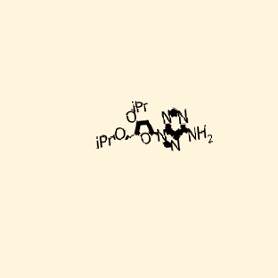 CC(C)OC[C@H]1O[C@H](n2cnc3c(N)ncnc32)C[C@@H]1OC(C)C